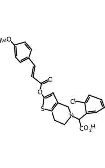 COc1ccc(C=CC(=O)Oc2cc3c(s2)CCN(C(C(=O)O)c2ccccc2Cl)C3)cc1